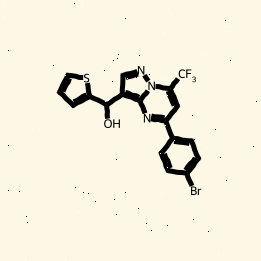 OC(c1cccs1)c1cnn2c(C(F)(F)F)cc(-c3ccc(Br)cc3)nc12